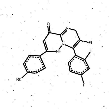 CCC1=C(c2ccc(F)cc2F)N2NC(c3ccc(C#N)cc3)=CC(=O)C2=NC1